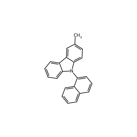 Cc1ccc2c(c1)c1ccccc1n2-c1cccc2ccccc12